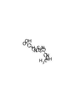 CNc1ccc(-c2ccnc3c2cc(CN2CCC(c4ccc(C(=O)O)cc4)CC2)n3C)cn1